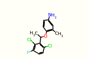 Cc1cc(N)ccc1OC(C)c1c(Cl)ccc(F)c1Cl